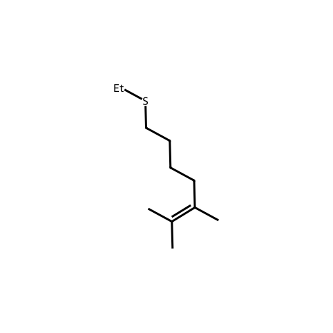 [CH2]CSCCCCC(C)=C(C)C